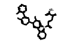 C=C(CCCC)C(=C)CCC(=C)n1c2c(c3c1=CC(C)C(C1C=C(c4ccccc4C)C(C)=CC1)C=3)C=CCC2